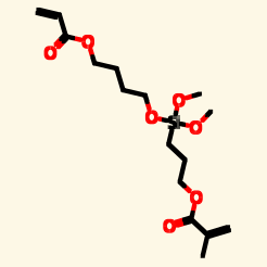 C=CC(=O)OCCCCO[Si](CCCOC(=O)C(=C)C)(OC)OC